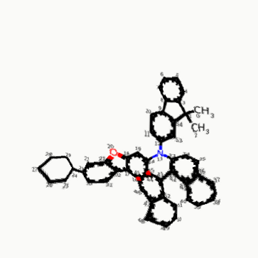 CC1(C)c2ccccc2-c2ccc(N(c3ccc4c(c3)oc3cc(C5CCCCC5)ccc34)c3ccc4ccccc4c3-c3cccc4ccccc34)cc21